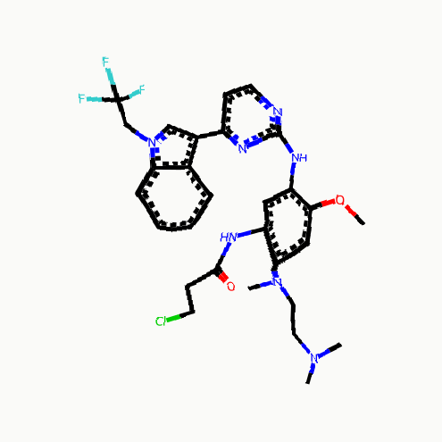 COc1cc(N(C)CCN(C)C)c(NC(=O)CCCl)cc1Nc1nccc(-c2cn(CC(F)(F)F)c3ccccc23)n1